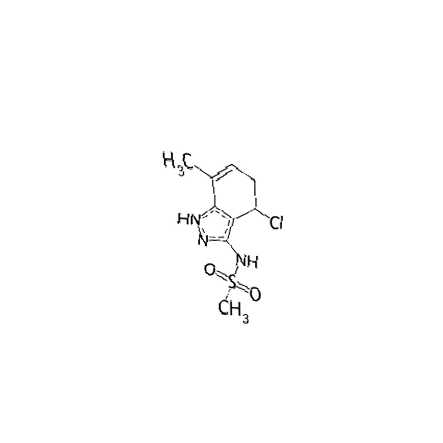 CC1=CCC(Cl)c2c(NS(C)(=O)=O)n[nH]c21